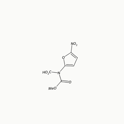 COC(=O)N(C(=O)O)c1ccc([N+](=O)[O-])o1